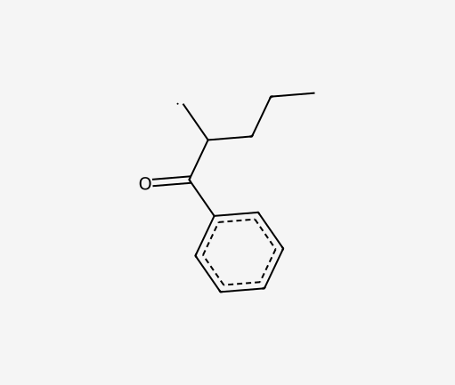 [CH2]C(CCC)C(=O)c1ccccc1